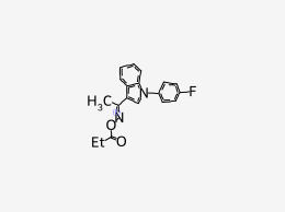 CCC(=O)O/N=C(\C)c1cn(-c2ccc(F)cc2)c2ccccc12